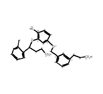 Cc1ccccc1C(CCC(=O)O)Oc1cc(OCc2cccc(CCC(=O)O)c2)ccc1C#N